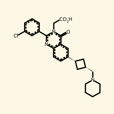 O=C(O)Cn1c(-c2cccc(Cl)c2)nc2ccc([C@H]3C[C@@H](CN4CCCCC4)C3)cc2c1=O